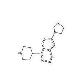 c1nc(C2CCNCC2)c2ccc(N3CCCC3)cc2n1